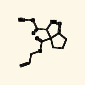 C=CCOC(=O)C1(C(N)C(=O)OC(C)(C)C)CCCC1=O